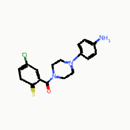 Nc1ccc(N2CCN(C(=O)C3=CC(Cl)=CCC3=S)CC2)cc1